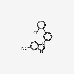 N#Cc1ccc2c(c1)ncn2-c1cccc(-c2ccccc2Cl)c1